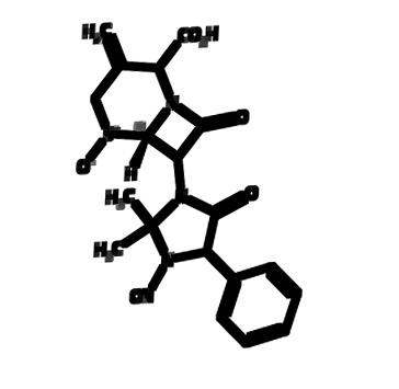 C=C1C[S+]([O-])[C@H]2C(N3C(=O)C(c4ccccc4)N(N=O)C3(C)C)C(=O)N2C1C(=O)O